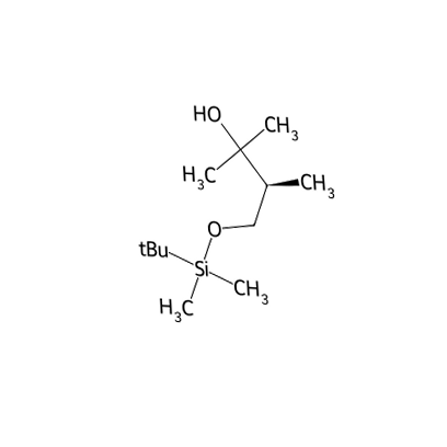 C[C@@H](CO[Si](C)(C)C(C)(C)C)C(C)(C)O